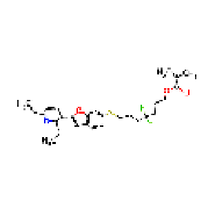 C=C(C)C(=O)OCCCC(F)(F)CCCSc1ccc2cc(-c3ccc(CC)nc3CC)oc2c1